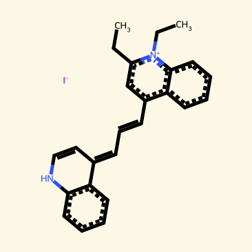 CCc1cc(C=CC=C2C=CNc3ccccc32)c2ccccc2[n+]1CC.[I-]